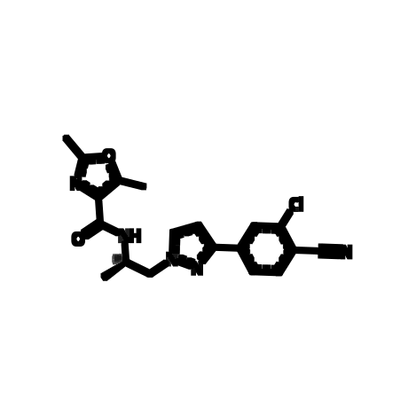 Cc1nc(C(=O)N[C@H](C)Cn2ccc(-c3ccc(C#N)c(Cl)c3)n2)c(C)o1